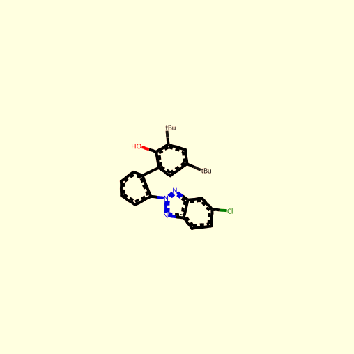 CC(C)(C)c1cc(-c2ccccc2-n2nc3ccc(Cl)cc3n2)c(O)c(C(C)(C)C)c1